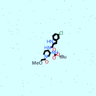 COCC(=O)N1CC[C@H](NC(=O)c2cc3cc(Cl)ccc3[nH]2)[C@H](NC(=O)OC(C)(C)C)C1